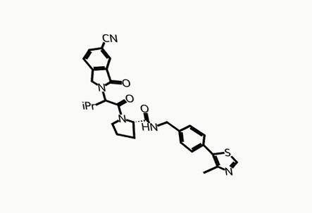 Cc1ncsc1-c1ccc(CNC(=O)[C@@H]2CCCN2C(=O)C(C(C)C)N2Cc3ccc(C#N)cc3C2=O)cc1